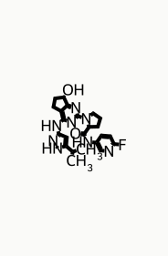 CC(C)c1cc(Nc2nc(N3CCCC3C(=O)Nc3ccc(F)nc3)nc3c2CC[C@H]3O)n[nH]1